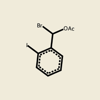 CC(=O)OC(Br)c1ccccc1I